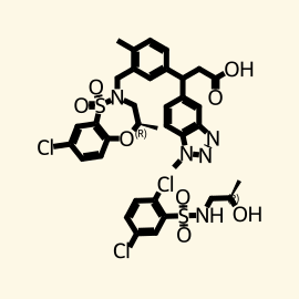 C[C@@H](O)CNS(=O)(=O)c1cc(Cl)ccc1Cl.Cc1ccc(C(CC(=O)O)c2ccc3c(c2)nnn3C)cc1CN1C[C@@H](C)Oc2ccc(Cl)cc2S1(=O)=O